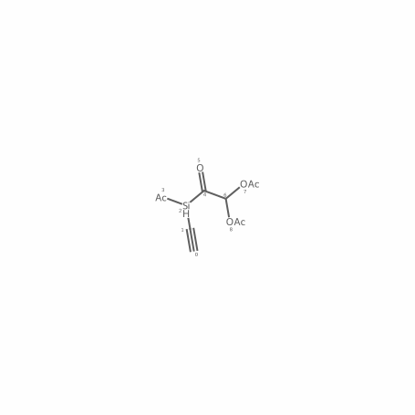 C#C[SiH](C(C)=O)C(=O)C(OC(C)=O)OC(C)=O